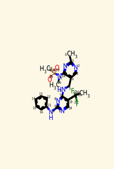 Cc1ncc(CNc2nc(Nc3ccccc3)ncc2C(C)(F)F)c(N(C)S(C)(=O)=O)n1